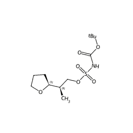 C[C@H](COS(=O)(=O)NC(=O)OC(C)(C)C)[C@@H]1CCCO1